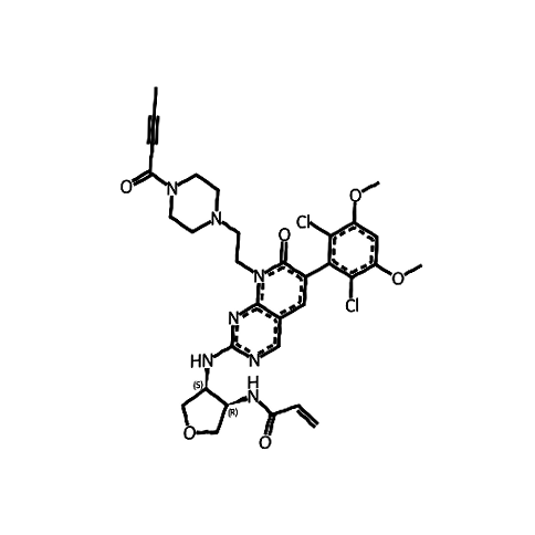 C=CC(=O)N[C@H]1COC[C@H]1Nc1ncc2cc(-c3c(Cl)c(OC)cc(OC)c3Cl)c(=O)n(CCN3CCN(C(=O)C#CC)CC3)c2n1